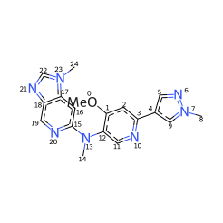 COc1cc(-c2cnn(C)c2)ncc1N(C)c1cc2c(cn1)ncn2C